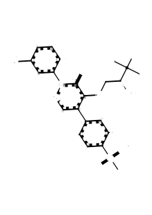 CC(C)(O)[C@@H](O)COc1c(-c2ccc(S(C)(=O)=O)cc2)cnn(-c2cccc(Br)c2)c1=O